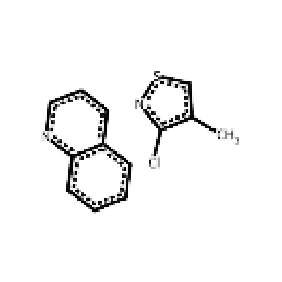 Cc1csnc1Cl.c1ccc2ncccc2c1